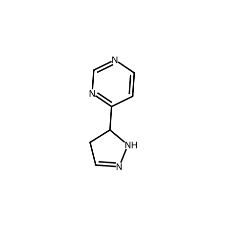 C1=NNC(c2ccncn2)C1